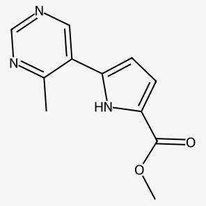 COC(=O)c1ccc(-c2cncnc2C)[nH]1